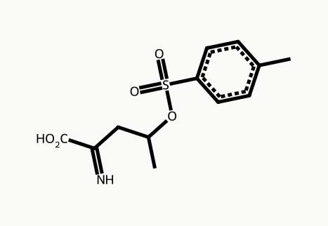 Cc1ccc(S(=O)(=O)OC(C)CC(=N)C(=O)O)cc1